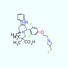 C[C@@H]1Cc2c([nH]c3ccccc23)C(c2c(F)cc(OCCN3CC(CF)C3)cc2F)N1CC(C)(C)C(=O)O